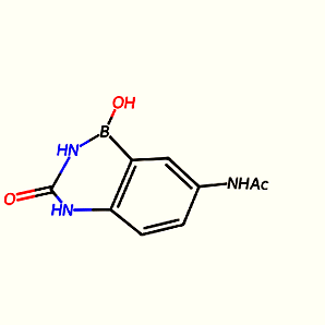 CC(=O)Nc1ccc2c(c1)B(O)NC(=O)N2